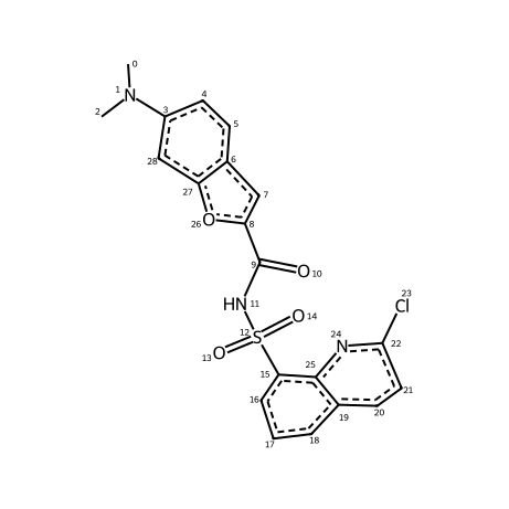 CN(C)c1ccc2cc(C(=O)NS(=O)(=O)c3cccc4ccc(Cl)nc34)oc2c1